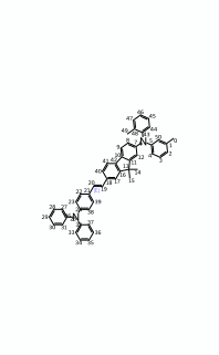 Cc1cccc(N(c2ccc3c(c2)C(C)(C)c2cc(/C=C/c4ccc(N(c5ccccc5)c5ccccc5)cc4)ccc2-3)c2ccccc2C)c1